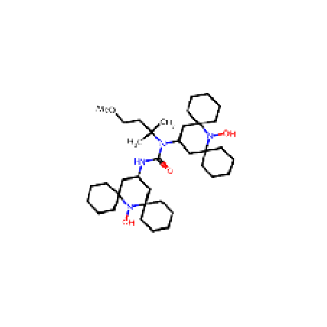 COCCC(C)(C)N(C(=O)NC1CC2(CCCCC2)N(O)C2(CCCCC2)C1)C1CC2(CCCCC2)N(O)C2(CCCCC2)C1